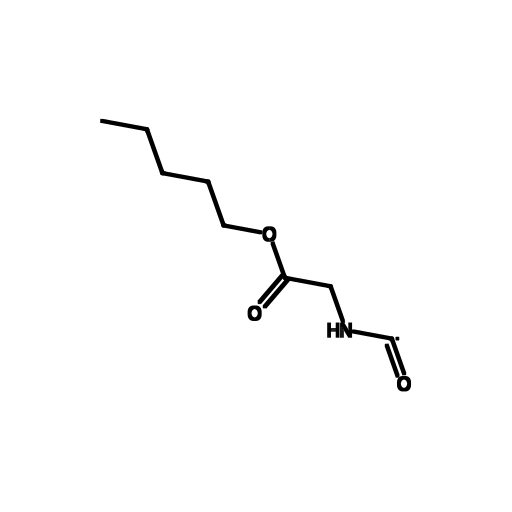 CCCCCOC(=O)CN[C]=O